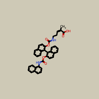 CC(=CCCNC(=O)Oc1ccc2ccccc2c1-c1c(OC(=O)Nc2cccc3ccccc23)ccc2ccccc12)C(=O)O